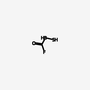 O=C(F)BS